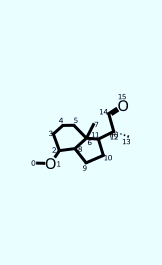 COC1CCCC2(C)C1CCC2[C@@H](C)C=O